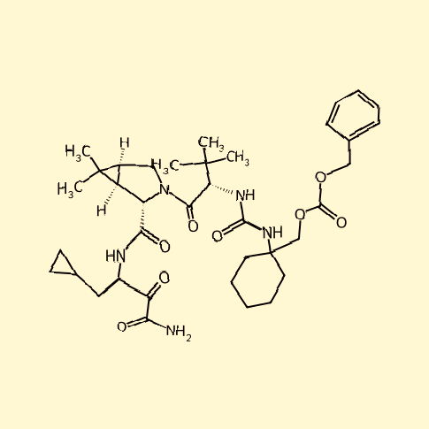 CC(C)(C)[C@H](NC(=O)NC1(COC(=O)OCc2ccccc2)CCCCC1)C(=O)N1C[C@H]2[C@@H]([C@H]1C(=O)NC(CC1CC1)C(=O)C(N)=O)C2(C)C